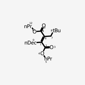 CCCCCCCCCCC(C(=O)OCCC)=C(CC(C)(C)C)C(=O)OCCC